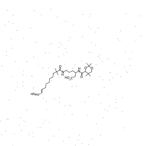 CCCCCC=CCCCCCCC(C)(C)C(=O)NCCCC(CC(=O)O)NC(=O)C1OC(C)(C)OCC1(C)C